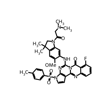 COc1cc2c(cc1Nc1nc3c(ccn3S(=O)(=O)c3ccc(C)cc3)c3nc4cccc(F)c4c(=O)n13)N(C(=O)CN(C)C)CC2(C)C